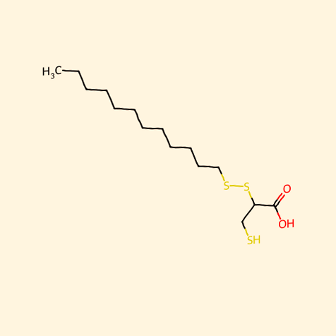 CCCCCCCCCCCCSSC(CS)C(=O)O